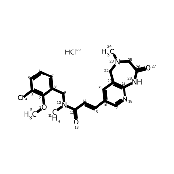 COc1c(Cl)cccc1CN(C)C(=O)C=Cc1cnc2c(c1)CN(C)CC(=O)N2.Cl